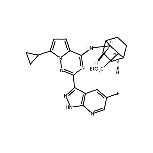 CCOC(=O)[C@@H]1C2CCC(CC2)[C@H]1Nc1nc(-c2n[nH]c3ncc(F)cc23)nn2c(C3CC3)ccc12